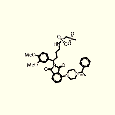 COc1ccc(C(CCCNS(=O)(=O)CS(C)(=O)=O)N2C(=O)c3cccc(N4CCN([C@H](C)c5ccccc5)CC4)c3C2=O)cc1OC